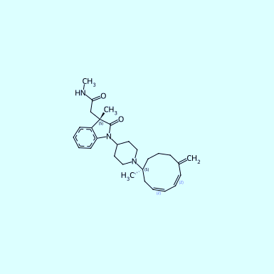 C=C1/C=C\C=C/C[C@@](C)(N2CCC(N3C(=O)[C@@](C)(CC(=O)NC)c4ccccc43)CC2)CCC1